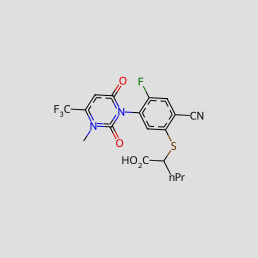 CCCC(Sc1cc(-n2c(=O)cc(C(F)(F)F)n(C)c2=O)c(F)cc1C#N)C(=O)O